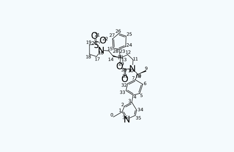 Cc1cc(-c2ccc([C@H](C)N3CC[C@@](CCN4CCCS4(=O)=O)(c4ccccc4)OC3=O)cc2)ccn1